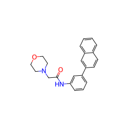 O=C(CN1CCOCC1)Nc1cccc(-c2ccc3ccccc3c2)c1